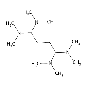 CN(C)C(CCC(N(C)C)N(C)C)N(C)C